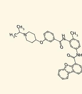 Cc1ccc(NC(=O)c2cccc3c2oc2ccccc23)cc1NC(=O)c1cccc(OC2CCN(C(C)C)CC2)c1